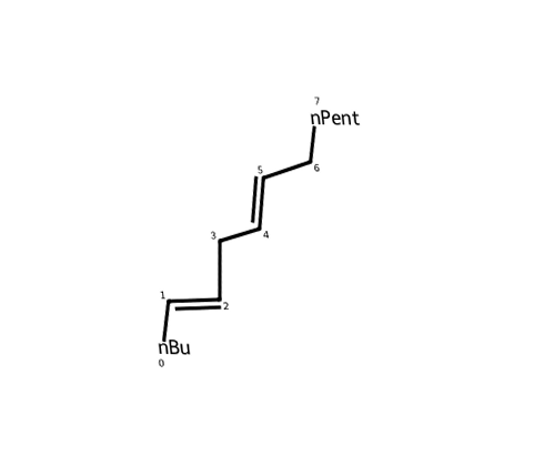 [CH2]CCCC=CCC=CCCCCC[CH2]